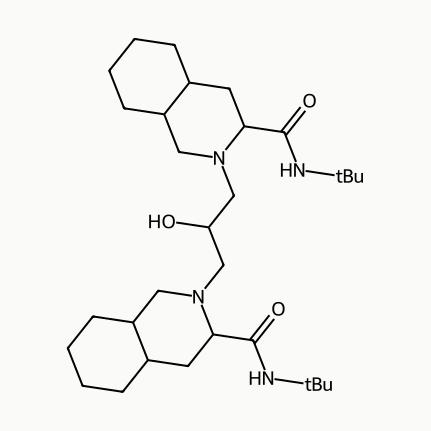 CC(C)(C)NC(=O)C1CC2CCCCC2CN1CC(O)CN1CC2CCCCC2CC1C(=O)NC(C)(C)C